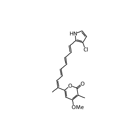 COc1cc(\C(C)=C/C=C/C=C/C=C/c2[nH]ccc2Cl)oc(=O)c1C